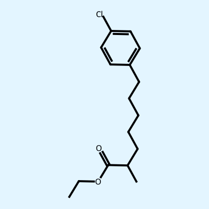 CCOC(=O)C(C)CCCCCc1ccc(Cl)cc1